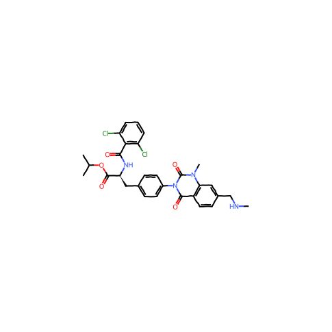 CNCc1ccc2c(=O)n(-c3ccc(C[C@H](NC(=O)c4c(Cl)cccc4Cl)C(=O)OC(C)C)cc3)c(=O)n(C)c2c1